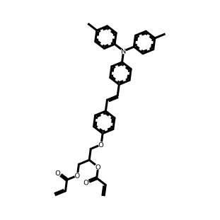 C=CC(=O)OCC(COc1ccc(C=Cc2ccc(N(c3ccc(C)cc3)c3ccc(C)cc3)cc2)cc1)OC(=O)C=C